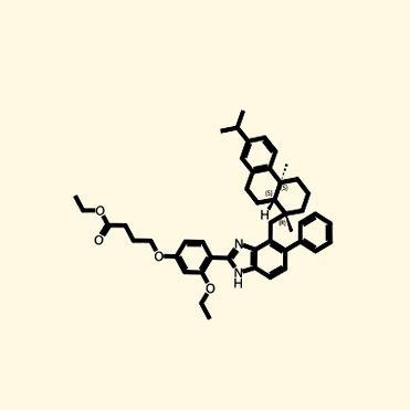 CCOC(=O)CCCOc1ccc(-c2nc3c(C[C@@]4(C)CCC[C@]5(C)c6ccc(C(C)C)cc6CC[C@@H]45)c(-c4ccccc4)ccc3[nH]2)c(OCC)c1